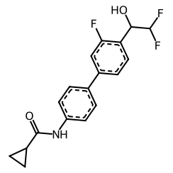 O=C(Nc1ccc(-c2ccc(C(O)C(F)F)c(F)c2)cc1)C1CC1